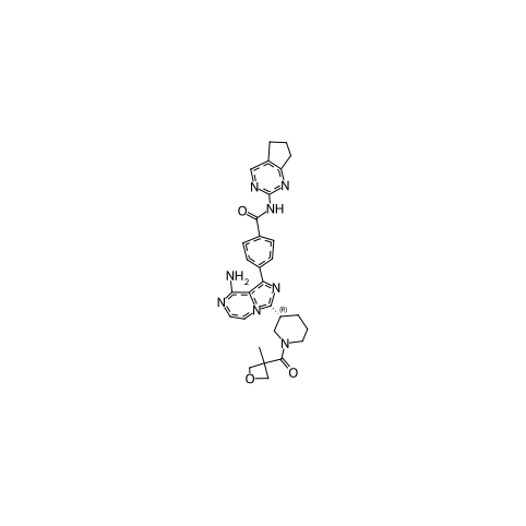 CC1(C(=O)N2CCC[C@@H](c3nc(-c4ccc(C(=O)Nc5ncc6c(n5)CCC6)cc4)c4c(N)nccn34)C2)COC1